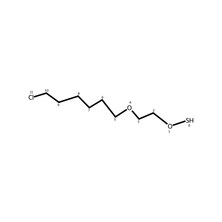 SOCCOCCCCCCCl